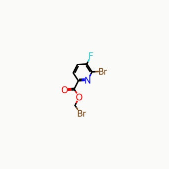 O=C(OCBr)c1ccc(F)c(Br)n1